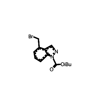 CC(C)COC(=O)n1ncc2c(CBr)cccc21